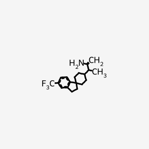 C=C(N)C(C)C1CCC2(CCc3cc(C(F)(F)F)ccc32)CC1